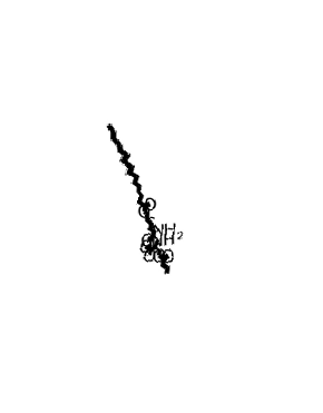 CCCCCCCCCCCCCCCC(=O)OCCSC[C@H](N)C(=O)N[C@@H](COC(=O)CCC)C(=O)OC